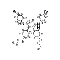 CCCCc1ccc(-c2c(Nc3ccc(Br)cc3)ccc(Nc3ccc(Br)cc3)c2-c2ccc(CCCC)cc2)cc1